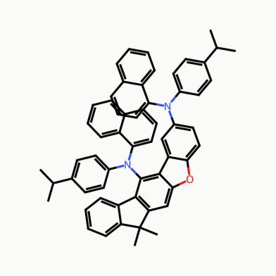 CC(C)c1ccc(N(c2ccc3oc4cc5c(c(N(c6ccc(C(C)C)cc6)c6cccc7ccccc67)c4c3c2)-c2ccccc2C5(C)C)c2cccc3ccccc23)cc1